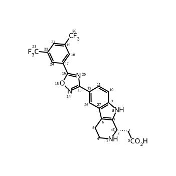 O=C(O)C[C@@H]1NCCc2c1[nH]c1ccc(-c3noc(-c4cc(C(F)(F)F)cc(C(F)(F)F)c4)n3)cc21